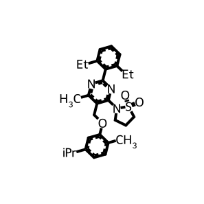 CCc1cccc(CC)c1-c1nc(C)c(COc2cc(C(C)C)ccc2C)c(N2CCCS2(=O)=O)n1